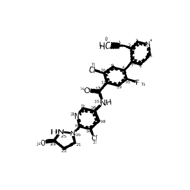 C#Cc1cnccc1-c1cc(Cl)c(C(=O)Nc2cnc(N3CCC(=O)N3)c(Cl)c2)cc1F